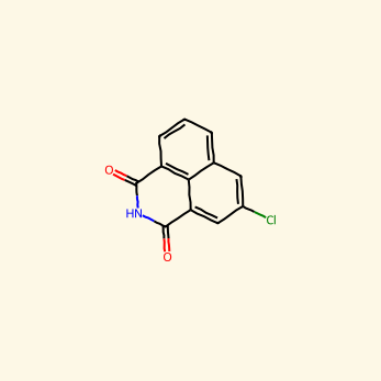 O=C1NC(=O)c2cc(Cl)cc3cccc1c23